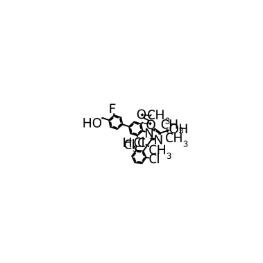 CC(C)(O)c1cn(-c2c(Cl)cc(-c3ccc(CO)c(F)c3)cc2S(C)(=O)=O)c(C(C)(C)c2c(Cl)cccc2Cl)n1